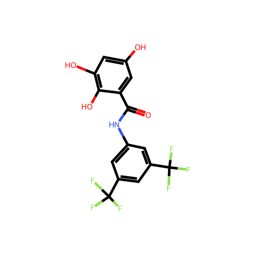 O=C(Nc1cc(C(F)(F)F)cc(C(F)(F)F)c1)c1cc(O)cc(O)c1O